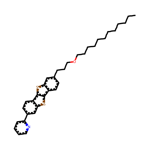 CCCCCCCCCCCCOCCCc1ccc2c(c1)sc1c3ccc(-c4ccccn4)cc3sc21